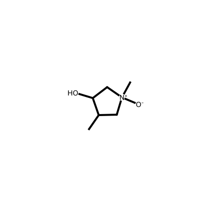 CC1C[N+](C)([O-])CC1O